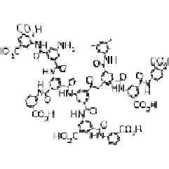 Cc1cc(C)cc(NC(=O)c2cc(CC(=O)c3cc(NC(=O)c4cc(NC(=O)c5cc(N)cc(C(=O)Nc6cc(C(=O)O)cc(C(=O)O)c6)c5)cc(C(=O)Nc5cccc(C(=O)O)c5)c4)cc(C(=O)Nc4cc(C(=O)O)cc(C(=O)Nc5cccc(C(=O)O)c5)c4)c3)cc(C(=O)Nc3cc(C(=O)O)cc(C(=O)Nc4cccc(C(=O)O)c4)c3)c2)c1